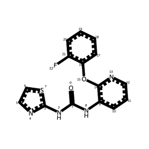 O=C(Nc1nccs1)Nc1cccnc1Oc1ccccc1F